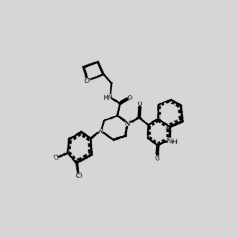 O=C(NCC1CCO1)C1CN(c2ccc(Cl)c(Cl)c2)CCN1C(=O)c1cc(=O)[nH]c2ccccc12